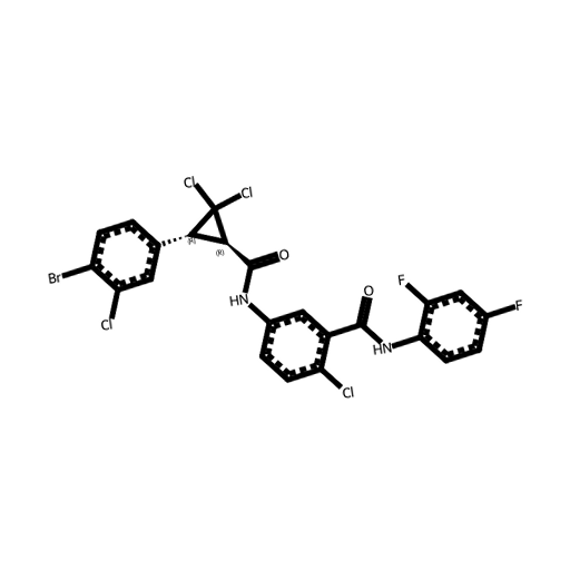 O=C(Nc1ccc(F)cc1F)c1cc(NC(=O)[C@H]2[C@H](c3ccc(Br)c(Cl)c3)C2(Cl)Cl)ccc1Cl